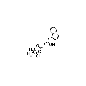 CC(C)(C)OC(=O)CCC(O)Cc1cccc2ccccc12